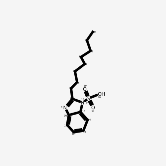 CCCCCCCCc1nc2ccccc2n1S(=O)(=O)O